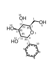 OC[C@H]1O[C@H](c2[c]cccc2)[C@H](O)[C@@H](O)[C@@H]1O